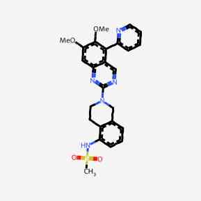 COc1cc2nc(N3CCc4c(cccc4NS(C)(=O)=O)C3)ncc2c(-c2ccccn2)c1OC